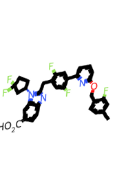 Cc1ccc(COc2cccc(-c3cc(F)c(Cc4nc5ccc(C(=O)O)cc5n4[C@@H]4CCC(F)(F)C4)cc3F)n2)c(F)c1